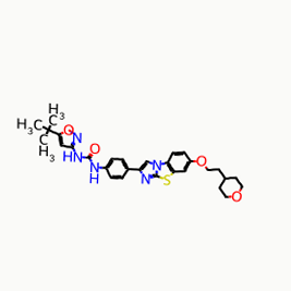 CC(C)(C)c1cc(NC(=O)Nc2ccc(-c3cn4c(n3)sc3cc(OCCC5CCOCC5)ccc34)cc2)no1